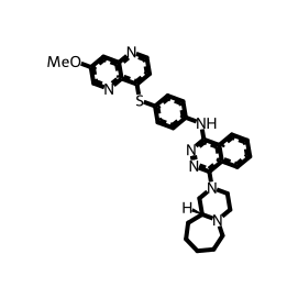 COc1cnc2c(Sc3ccc(Nc4nnc(N5CCN6CCCCC[C@@H]6C5)c5ccccc45)cc3)ccnc2c1